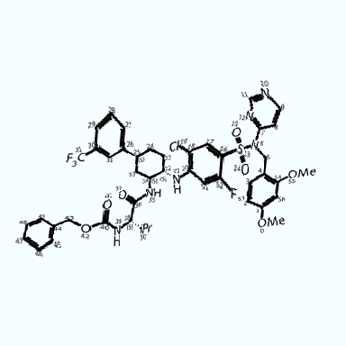 COc1ccc(CN(c2ccncn2)S(=O)(=O)c2cc(Cl)c(N[C@H]3CC[C@H](c4cccc(C(F)(F)F)c4)C[C@@H]3NC(=O)[C@@H](NC(=O)OCc3ccccc3)C(C)C)cc2F)c(OC)c1